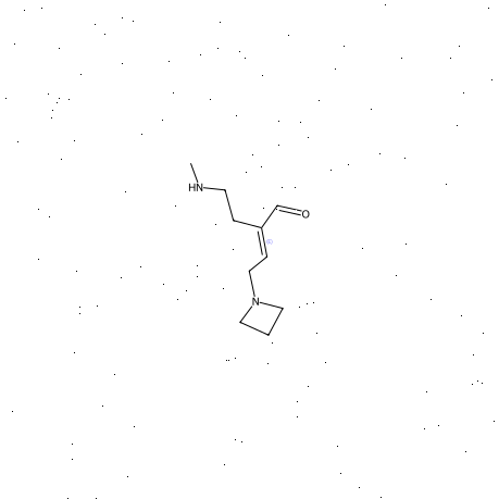 CNCC/C(C=O)=C\CN1CCC1